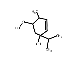 CC1C=CC(O)(C(C)C)CC1OO